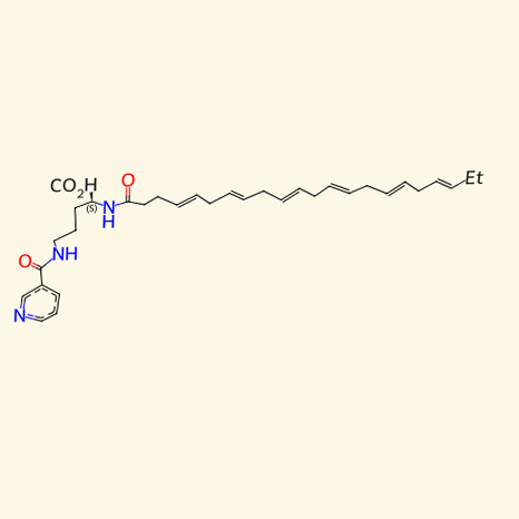 CCC=CCC=CCC=CCC=CCC=CCC=CCCC(=O)N[C@@H](CCCNC(=O)c1cccnc1)C(=O)O